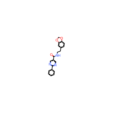 O=C(NCCc1ccc2c(c1)OCO2)c1cnc(-c2ccccc2)nc1